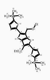 CCOCc1c(-c2ccc([Si](C)(C)C)s2)sc2c(C(=O)OCC)c(-c3ccc([Si](C)(C)C)s3)sc12